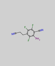 N#CCCc1c(F)c(F)c(C#N)c(P)c1F